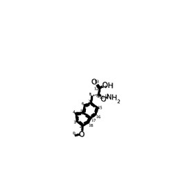 COc1ccc2cc(C[C@@H](ON)C(=O)O)ccc2c1